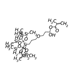 C=C(C)C(=O)OC(O)CCOCCC[SiH](C(O[SiH2]C)(O[SiH2]C)O[SiH2]C)C(O[SiH2]C)(O[SiH2]C)O[SiH2]C